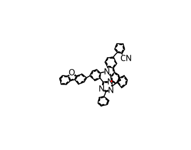 N#Cc1ccccc1-c1ccc2c(c1)c1ccccc1n2-c1ccc(-c2ccc3c(c2)oc2ccccc23)cc1-c1nc(-c2ccccc2)nc(-c2ccccc2)n1